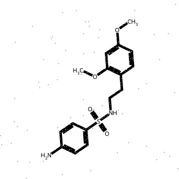 COc1ccc(CCNS(=O)(=O)c2ccc(N)cc2)c(OC)c1